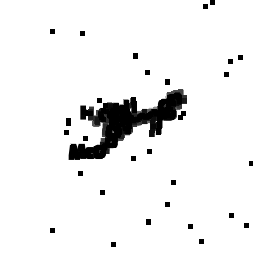 COCCOc1ccc2c(c1)nc(NCCCCNC(=O)OC1CCCC1)c1nnc(C)n12